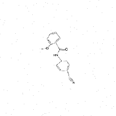 COc1ccccc1C(=O)Nc1ccc(C#N)cc1